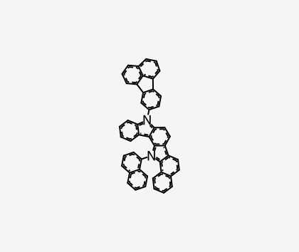 c1ccc2c(-n3c4c5ccccc5ccc4c4ccc5c(c6ccccc6n5-c5ccc6c(c5)-c5cccc7cccc-6c57)c43)cccc2c1